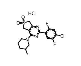 CC1CCCN(c2nc(-c3cc(F)c(Cl)cc3F)nc3c2CS(=O)(=O)C3)C1.Cl